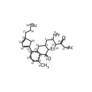 CCCC(CC1CC(=O)c2c(C)ccc(C3=CC=C(CCC(C)(C)C)C3)c2C1)C(CC)C(=O)CC(C)=O